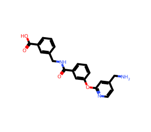 NCc1ccnc(Oc2cccc(C(=O)NCc3cccc(C(=O)O)c3)c2)c1